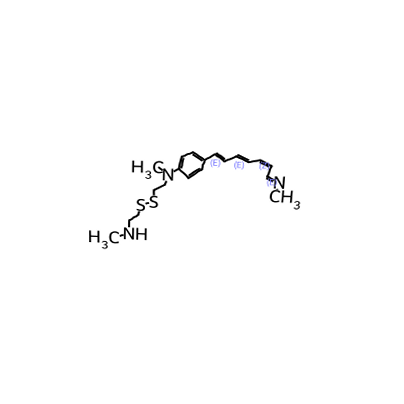 C/N=C/C=C\C=C\C=C\c1ccc(N(C)CCSSCCNC)cc1